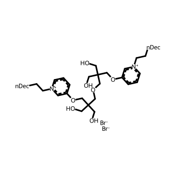 CCCCCCCCCCCC[n+]1cccc(OCC(CO)(CO)COCC(CO)(CO)COc2ccc[n+](CCCCCCCCCCCC)c2)c1.[Br-].[Br-]